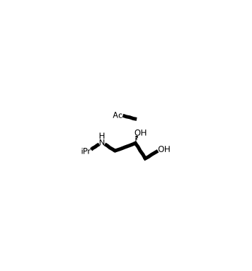 CC(C)=O.CC(C)NC[C@H](O)CO